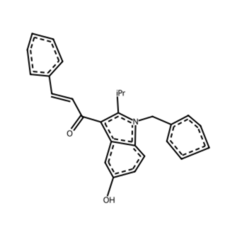 CC(C)c1c(C(=O)C=Cc2ccccc2)c2cc(O)ccc2n1Cc1ccccc1